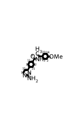 COc1ccc([C@H](C)NC(=O)c2ccc(-c3ccnc(N)n3)cc2)cc1